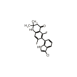 CC1(C)CC(=O)c2c(cc(F)c(-c3cccc4c(Cl)c[nH]c34)c2F)N1